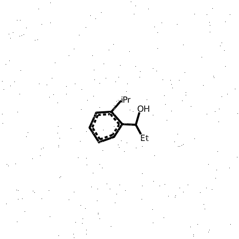 CCC(O)c1ccccc1C(C)C